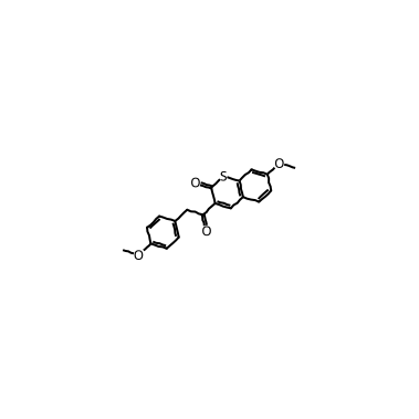 COc1ccc(CC(=O)c2cc3ccc(OC)cc3sc2=O)cc1